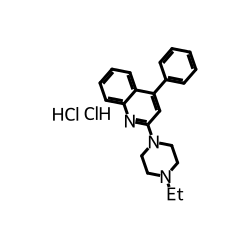 CCN1CCN(c2cc(-c3ccccc3)c3ccccc3n2)CC1.Cl.Cl